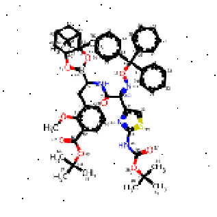 COc1c(CC(NC(=O)/C(=N\OC(c2ccccc2)(c2ccccc2)c2ccccc2)c2csc(NC(=O)OC(C)(C)C)n2)B2OC3CC4CC(C4(C)C)C3(C)O2)cccc1C(=O)OC(C)(C)C